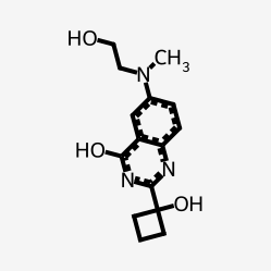 CN(CCO)c1ccc2nc(C3(O)CCC3)nc(O)c2c1